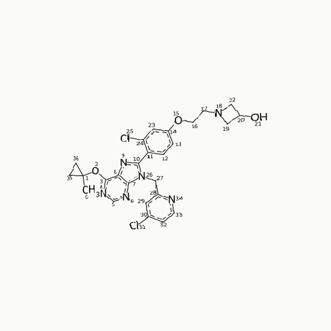 CC1(Oc2ncnc3c2nc(-c2ccc(OCCN4CC(O)C4)cc2Cl)n3Cc2cc(Cl)ccn2)CC1